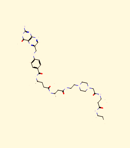 CC(=O)C[C@H](NC(=O)C[C@H](NC(=O)CN1CCN(CCNC(=O)C[C@H](NC(=O)CC[C@H](NC(=O)c2ccc(NCc3cnc4nc(N)[nH]c(=O)c4n3)cc2)C(=O)O)C(=O)O)CC1)C(=O)O)C(=O)O